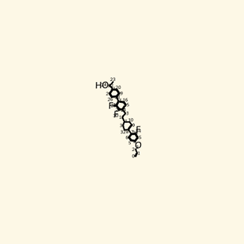 C=CCOc1ccc(C2=CCC(CCc3ccc(-c4ccc(C(C)O)cc4)c(F)c3F)CC2)c(F)c1